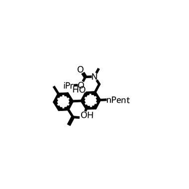 C=C(C)c1ccc(C)cc1-c1c(O)cc(CCCCC)c(CN(C)C(=O)OC(C)C)c1O